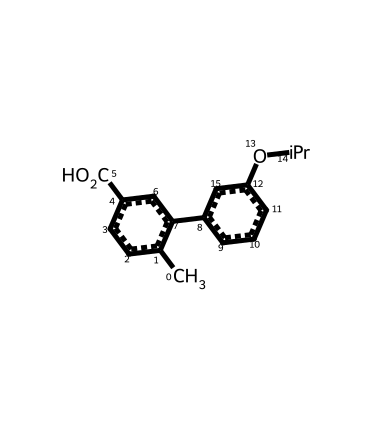 Cc1ccc(C(=O)O)cc1-c1cccc(OC(C)C)c1